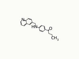 CCCC(=O)c1ccc(NCc2ccc3ncccc3c2)cc1